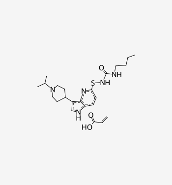 C=CC(=O)O.CCCCNC(=O)NSc1ccc2[nH]cc(C3CCN(C(C)C)CC3)c2n1